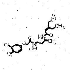 C=C(CCNC(=O)COc1ccc(Cl)c(Cl)c1)NC(=O)C=C(CC)CC